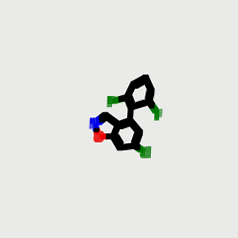 Fc1cccc(F)c1-c1cc(Cl)cc2oncc12